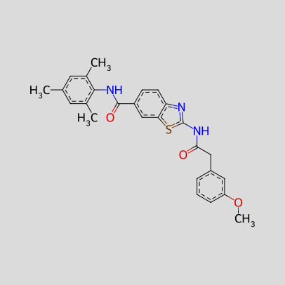 COc1cccc(CC(=O)Nc2nc3ccc(C(=O)Nc4c(C)cc(C)cc4C)cc3s2)c1